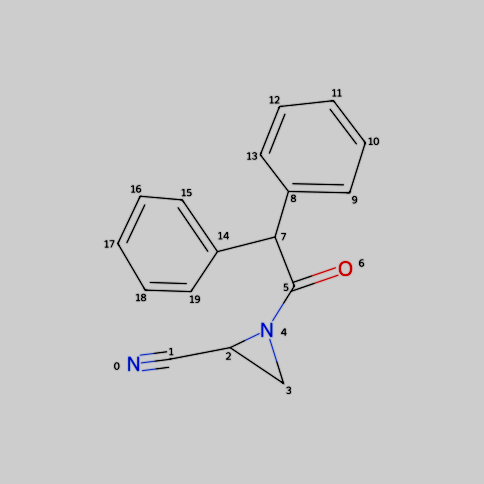 N#CC1CN1C(=O)C(c1ccccc1)c1ccccc1